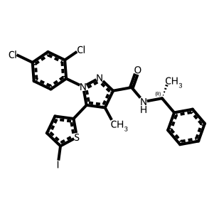 Cc1c(C(=O)N[C@H](C)c2ccccc2)nn(-c2ccc(Cl)cc2Cl)c1-c1ccc(I)s1